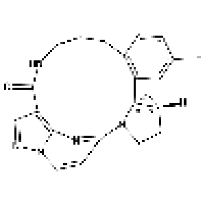 O=C1NCCCc2ccc(F)cc2[C@@]23C[C@@H]2CCN3c2ccn3ncc1c3n2